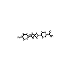 CC(C)C(=O)N1CCC(N2CC3(CC(N4CCC(C(C)C)CC4)C3)C2)CC1